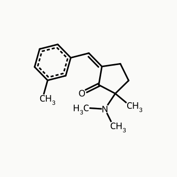 Cc1cccc(C=C2CCC(C)(N(C)C)C2=O)c1